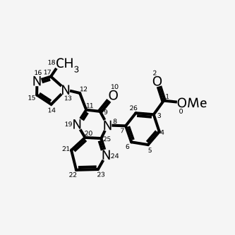 COC(=O)c1cccc(-n2c(=O)c(Cn3ccnc3C)nc3cccnc32)c1